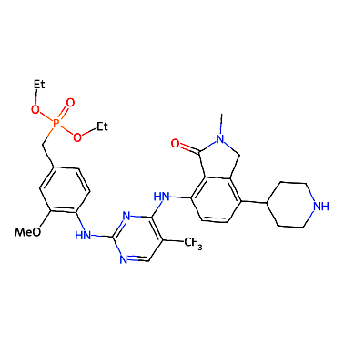 CCOP(=O)(Cc1ccc(Nc2ncc(C(F)(F)F)c(Nc3ccc(C4CCNCC4)c4c3C(=O)N(C)C4)n2)c(OC)c1)OCC